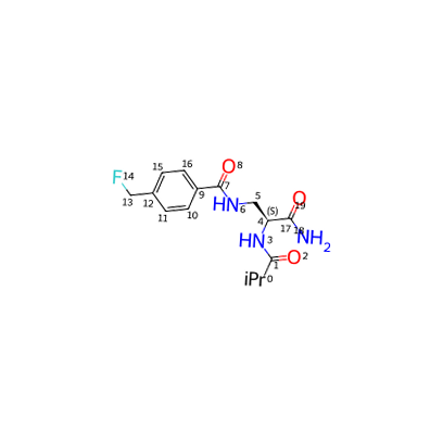 CC(C)C(=O)N[C@@H](CNC(=O)c1ccc(CF)cc1)C(N)=O